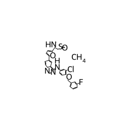 C.CNC(C=S=O)c1ccc(-c2ccc3ncnc(Nc4ccc(OCc5cccc(F)c5)c(Cl)c4)c3c2)o1